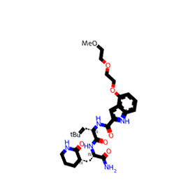 COCCOCCOc1cccc2[nH]c(C(=O)N[C@@H](CC(C)(C)C)C(=O)N[C@@H](C[C@@H]3CCCNC3=O)C(N)=O)cc12